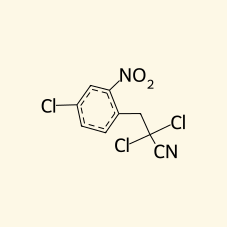 N#CC(Cl)(Cl)Cc1ccc(Cl)cc1[N+](=O)[O-]